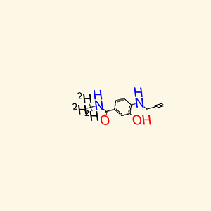 [2H]C([2H])([2H])NC(=O)c1ccc(NCC#C)c(O)c1